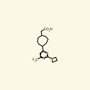 O=C(O)CC1CCCC(c2cc(C(F)(F)F)nc(N3CCC3)n2)CCC1